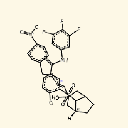 O=C(Nc1cc(F)c(F)c(F)c1)c1ccc(Cl)c(S(=O)(=O)C2C3CC[C@@H]2CC(O)(/C=N/OCc2ccc([N+](=O)[O-])cc2)C3)c1